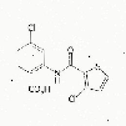 O=C(O)c1ccc(Cl)cc1NC(=O)c1sccc1Cl